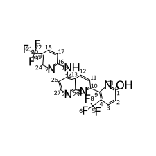 Oc1ccc(C(F)(F)F)c(-c2ccc3c(Nc4ccc(C(F)(F)F)cn4)ccnc3n2)n1